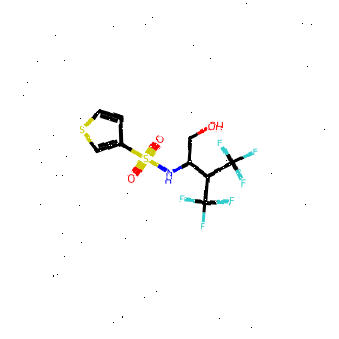 O=S(=O)(NC(CO)C(C(F)(F)F)C(F)(F)F)c1ccsc1